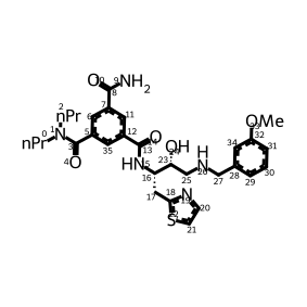 CCCN(CCC)C(=O)c1cc(C(N)=O)cc(C(=O)N[C@@H](Cc2nccs2)[C@H](O)CNCc2cccc(OC)c2)c1